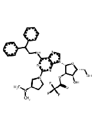 CN(C)[C@@H]1CCN(c2nc(NCC(c3ccccc3)c3ccccc3)c3ncn([C@@H]4O[C@H](CO)[C@@H](O)[C@H]4OC(=O)C(F)(F)F)c3n2)C1